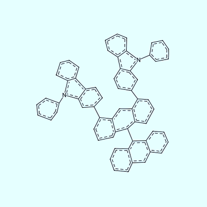 c1ccc(-n2c3ccccc3c3ccc(-c4cccc5c(-c6c7ccccc7cc7ccccc67)c6cccc(-c7ccc8c9ccccc9n(-c9ccccc9)c8c7)c6cc45)cc32)cc1